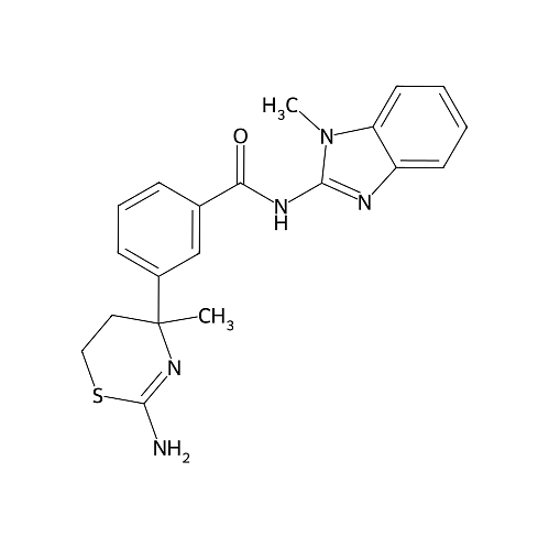 Cn1c(NC(=O)c2cccc(C3(C)CCSC(N)=N3)c2)nc2ccccc21